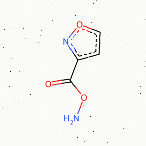 NOC(=O)c1ccon1